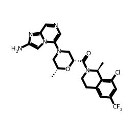 C[C@@H]1CN(c2cncc3nc(N)cn23)C[C@H](C(=O)N2CCc3cc(C(F)(F)F)cc(Cl)c3[C@@H]2C)O1